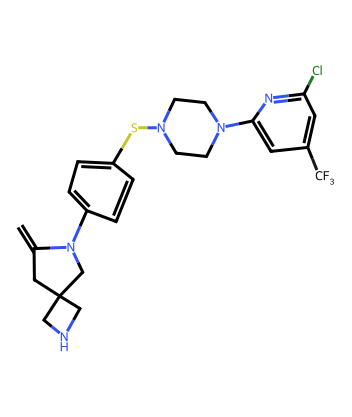 C=C1CC2(CNC2)CN1c1ccc(SN2CCN(c3cc(C(F)(F)F)cc(Cl)n3)CC2)cc1